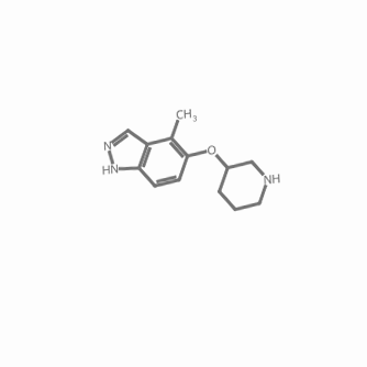 Cc1c(OC2CCCNC2)ccc2[nH]ncc12